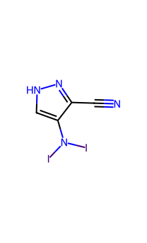 N#Cc1n[nH]cc1N(I)I